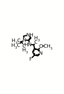 COc1ncc(F)cc1C(C)NC1=CNCN1C(C)(C)C